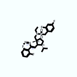 CCN(C[C@]1(C)CC[C@H](C(C)C)C1/C=C(\N=N/C)c1c(F)cccc1F)S(=O)(=O)Cc1ccc(F)cc1F